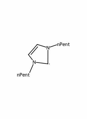 CCCCCN1[C]N(CCCCC)C=C1